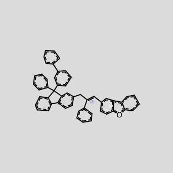 C(=C(\Cc1ccc2c(c1)C(c1ccccc1)(c1cccc(-c3ccccc3)c1)c1ccccc1-2)c1ccccc1)/c1ccc2oc3ccccc3c2c1